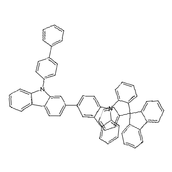 c1ccc(-c2ccc(-n3c4ccccc4c4ccc(-c5ccc6c(c5)c5ccccc5n6-c5ccccc5C5(c6ccccc6)c6ccccc6-c6ccccc65)cc43)cc2)cc1